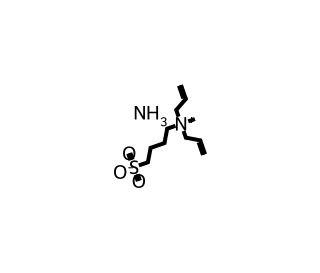 C=CC[N+](C)(CC=C)CCCCS(=O)(=O)[O-].N